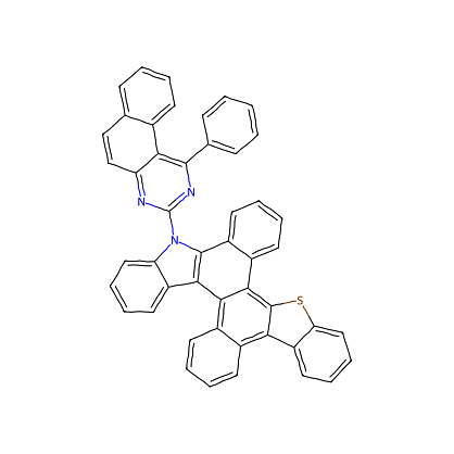 c1ccc(-c2nc(-n3c4ccccc4c4c5c6ccccc6c6c7ccccc7sc6c5c5ccccc5c43)nc3ccc4ccccc4c23)cc1